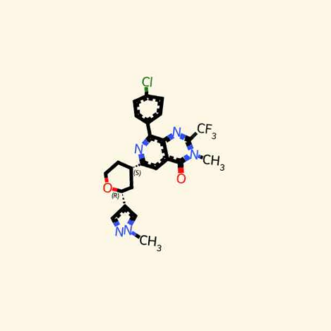 Cn1cc([C@H]2C[C@@H](c3cc4c(=O)n(C)c(C(F)(F)F)nc4c(-c4ccc(Cl)cc4)n3)CCO2)cn1